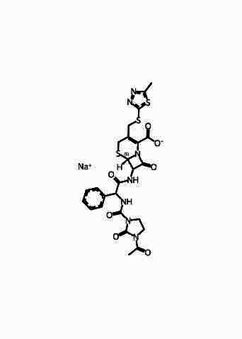 CC(=O)N1CCN(C(=O)NC(C(=O)NC2C(=O)N3C(C(=O)[O-])=C(CSc4nnc(C)s4)CS[C@@H]23)c2ccccc2)C1=O.[Na+]